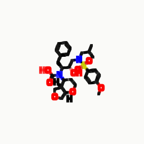 COc1ccc(S(=O)(=O)N(CC(C)C)C[C@H](O)[C@H](Cc2ccccc2)N(C(=O)O)[C@H]2CCO[C@H]3COC[C@@H]32)cc1